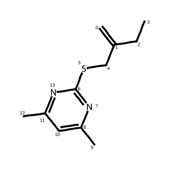 C=C(CC)CSc1nc(C)cc(C)n1